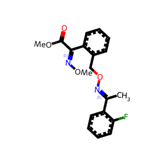 CO/N=C(/C(=O)OC)c1ccccc1CO/N=C(\C)c1ccccc1F